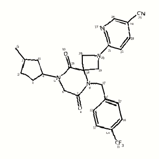 CC1CCC(N2CC(=O)N(Cc3ccc(C(F)(F)F)cc3)C3(CN(c4ccc(C#N)cn4)C3)C2=O)C1